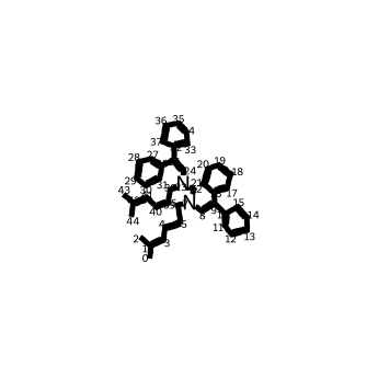 CC(C)=CC=CCN(C=C(c1ccccc1)c1ccccc1)CN(C=C(c1ccccc1)c1ccccc1)CC=CC=C(C)C